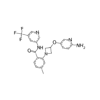 Cc1ccc(C(=O)Nc2cncc(C(F)(F)F)c2)c(N2CC(Oc3ccc(N)nc3)C2)c1